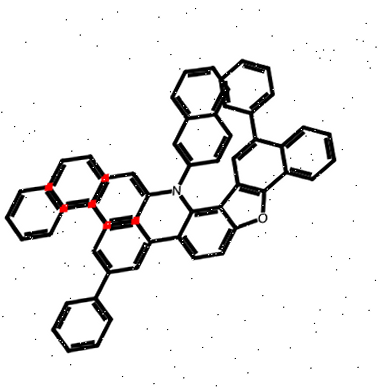 c1ccc(-c2ccc(N(c3ccc4ccccc4c3)c3c(-c4cc(-c5ccccc5)cc(-c5ccccc5)c4)ccc4oc5c6ccccc6c(-c6ccccc6)cc5c34)cc2)cc1